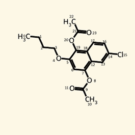 CCCCOc1cc(OC(C)=O)c2cc(Cl)ccc2c1OC(C)=O